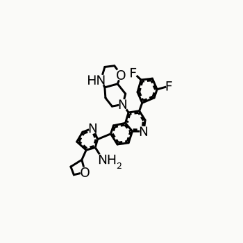 Nc1c(C2CCO2)ccnc1-c1ccc2ncc(-c3cc(F)cc(F)c3)c(N3CCC4NCCOC4C3)c2c1